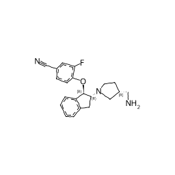 N#Cc1ccc(O[C@@H]2c3ccccc3C[C@H]2N2CC[C@H](CN)C2)c(F)c1